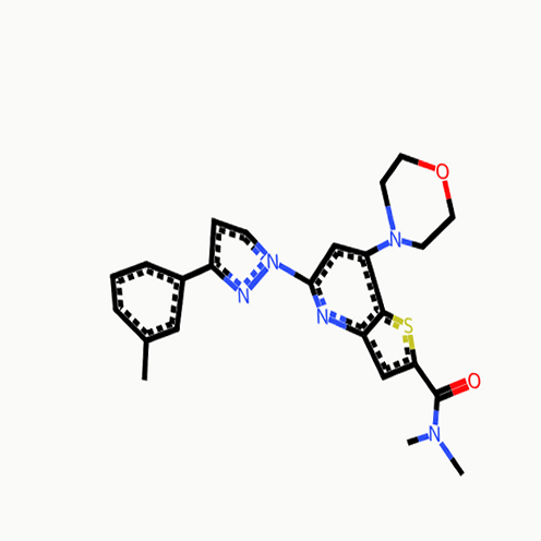 Cc1cccc(-c2ccn(-c3cc(N4CCOCC4)c4sc(C(=O)N(C)C)cc4n3)n2)c1